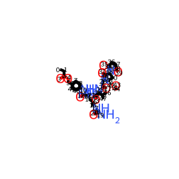 CCC(=O)OCc1ccc(NC(=O)[C@H](CCCNC(N)=O)NC(=O)[C@@H](NC(=O)CN2C(=O)[C@@H](N3C(=O)C=CC3=O)C[C@H]2COC)C(C)C)cc1